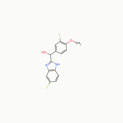 COc1ccc(C(O)c2nc3cc(F)ccc3[nH]2)cc1F